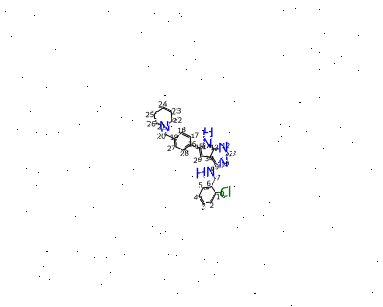 Clc1ccccc1CNc1ncnc2[nH]c(-c3ccc(CN4CCCCC4)cc3)cc12